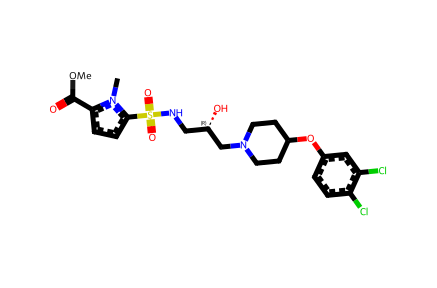 COC(=O)c1ccc(S(=O)(=O)NC[C@H](O)CN2CCC(Oc3ccc(Cl)c(Cl)c3)CC2)n1C